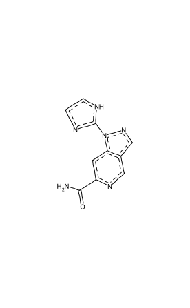 NC(=O)c1cc2c(cn1)cnn2-c1ncc[nH]1